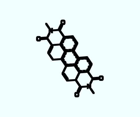 CN1C(=O)C2=CCc3c4c5c6c(ccc5c5ccc(c2c35)C1=O)C(=O)N(C)C(=O)C6C=C4